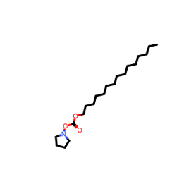 CCCCCCCCCCCCCCCOC(=O)ON1CCCC1